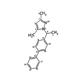 Cc1cc(C)n(C(C)c2ccc(-c3ccccc3)cc2)n1